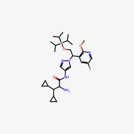 COc1ncc(F)cc1C(CO[Si](C(C)C)(C(C)C)C(C)C)n1cc(NC(=O)C(N)C(C2CC2)C2CC2)cn1